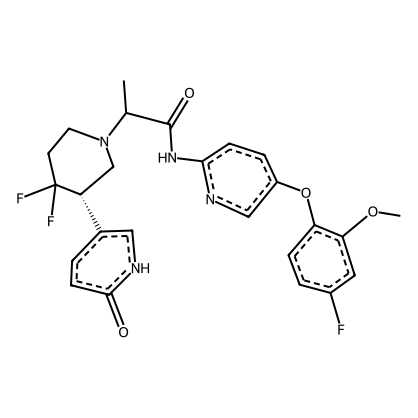 COc1cc(F)ccc1Oc1ccc(NC(=O)C(C)N2CCC(F)(F)[C@@H](c3ccc(=O)[nH]c3)C2)nc1